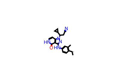 C[CH]c1ccc(Nc2nn(C(CC#N)C3CC3)c3cc[nH]c(=O)c23)cc1C